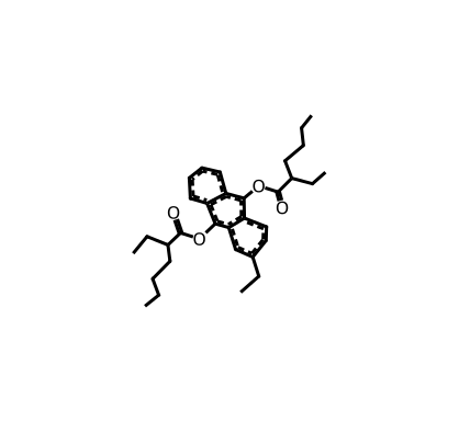 CCCCC(CC)C(=O)Oc1c2ccccc2c(OC(=O)C(CC)CCCC)c2cc(CC)ccc12